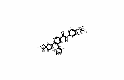 O=C(Nc1ccc(OC(F)(F)Cl)cc1)c1cnc(N2CCC3(CNC3)C2)c(-c2ccn[nH]2)c1